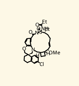 CCC(=O)NS1(=O)=NC(=O)c2ccc3c(c2)N(C[C@@H]2CC[C@H]2[C@@H](OC)/C=C/CC[C@H]1CC)C[C@@]1(CCCc2cc(Cl)ccc21)CO3